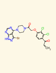 C=CC(=O)c1ccc(OCC(=O)N2CCN(c3ncnc4[nH]nc(Br)c34)CC2)c(Cl)c1Cl